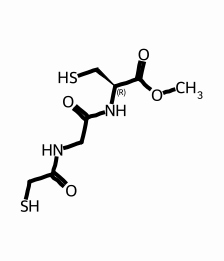 COC(=O)[C@H](CS)NC(=O)CNC(=O)CS